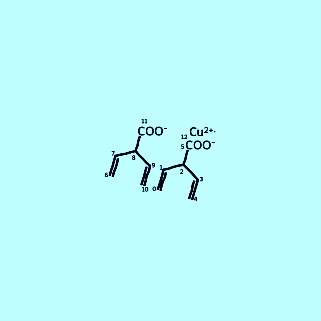 C=CC(C=C)C(=O)[O-].C=CC(C=C)C(=O)[O-].[Cu+2]